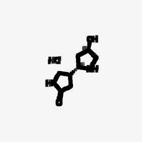 Cl.O=C1CC([C@@H]2C[C@@H](O)CN2)CN1